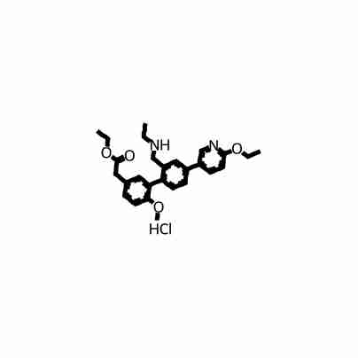 CCNCc1cc(-c2ccc(OCC)nc2)ccc1-c1cc(CC(=O)OCC)ccc1OC.Cl